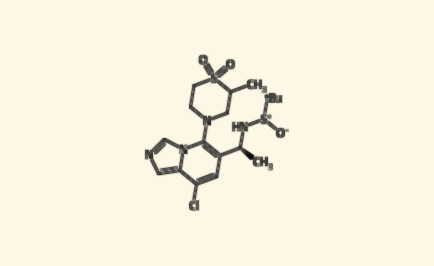 CC1CN(c2c([C@H](C)N[S+]([O-])C(C)(C)C)cc(Cl)c3cncn23)CCS1(=O)=O